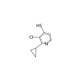 Sc1ccnc(C2CC2)c1Cl